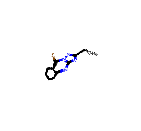 COCc1nc2nc3c(c([S])n2n1)CCCC3